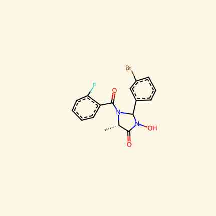 C[C@H]1C(=O)N(O)C(c2cccc(Br)c2)N1C(=O)c1ccccc1F